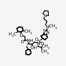 Cc1cccc(C)c1OCC(=O)N[C@@H](Cc1ccccc1)[C@H](O)CN(CC(C)C)S(=O)(=O)c1ccc2nc(N(C)CCCN3CCCC3)sc2c1